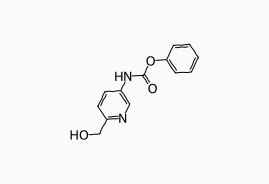 O=C(Nc1ccc(CO)nc1)Oc1ccccc1